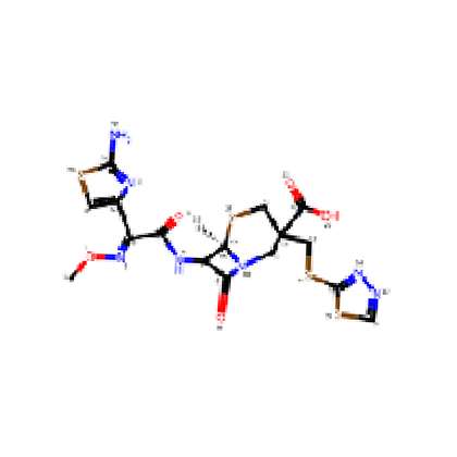 CON=C(C(=O)NC1C(=O)N2CC(CSc3nncs3)(C(=O)O)CS[C@H]12)c1csc(N)n1